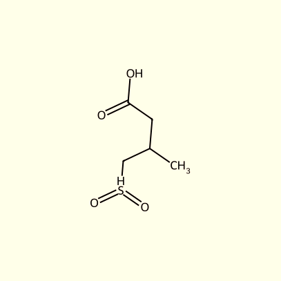 CC(CC(=O)O)C[SH](=O)=O